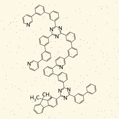 CC1(C)c2ccccc2-c2ccc(-c3nc(-c4cccc(-c5ccccc5)c4)nc(-c4cccc(-c5ccccc5-c5ccc(-c6cccc(-c7cccc(-c8nc(-c9cccc(-c%10cccc(-c%11cccnc%11)c%10)c9)nc(-c9cccc(-c%10cccc(-c%11cccnc%11)c%10)c9)n8)c7)c6)cn5)c4)n3)cc21